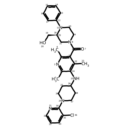 Cc1nc(C)c(C(=O)N2CCN(c3ccccc3)[C@H](CO)C2)c(C)c1NC1CCN(c2ncccc2Cl)CC1